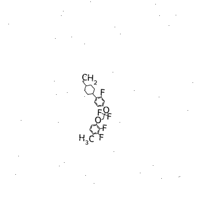 C=CC1CCC(c2ccc(OC(F)(F)COc3ccc(C)c(F)c3F)cc2F)CC1